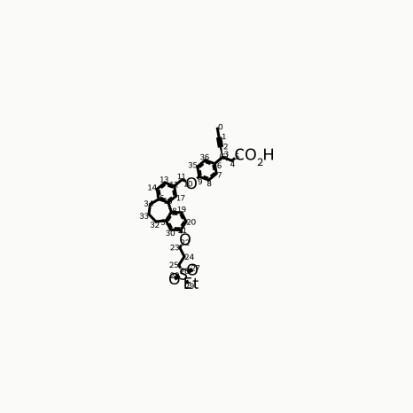 CC#C[C@@H](CC(=O)O)c1ccc(OCc2ccc3c(c2)-c2ccc(OCCCS(=O)(=O)CC)cc2CCC3)cc1